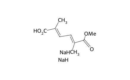 COC(=O)C(C)=CC=C(C)C(=O)O.[NaH].[NaH]